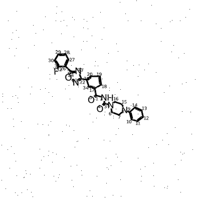 O=C(NC(=O)N1CCN(c2ccccc2)CC1)c1cccc(-c2noc(-c3ccccc3F)n2)c1